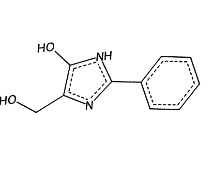 OCc1nc(-c2ccccc2)[nH]c1O